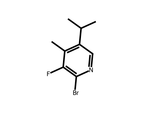 Cc1c(C(C)C)cnc(Br)c1F